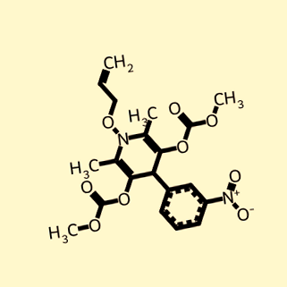 C=CCON1C(C)=C(OC(=O)OC)C(c2cccc([N+](=O)[O-])c2)C(OC(=O)OC)=C1C